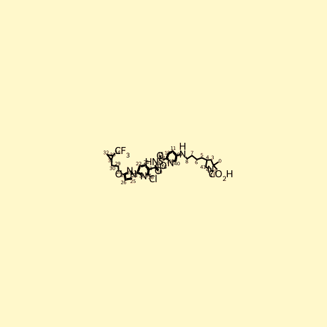 CC1(C)CC(CCCCNc2ccc(S(=O)(=O)NC(=O)c3ccc(-n4ccc(OCCC5CC5C(F)(F)F)n4)nc3Cl)nc2)CN1C(=O)O